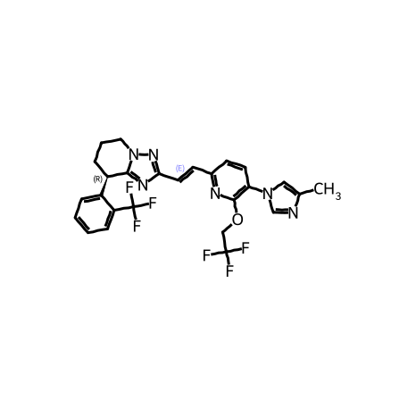 Cc1cn(-c2ccc(/C=C/c3nc4n(n3)CCC[C@@H]4c3ccccc3C(F)(F)F)nc2OCC(F)(F)F)cn1